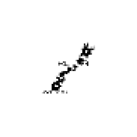 COc1ccc(-c2cnc(CCC(=O)NCC[C@@H]3C[C@@H](Cc4ccc(Cl)c(Cl)c4)CN3)nc2)cc1OC.Cl